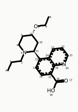 CCCN1CC[C@H](OCC)C[C@H]1c1ccc(C(=O)O)c2ncccc12